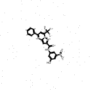 O=C(Nc1cc(O)cc([N+](=O)[O-])c1)c1cc2nc(-c3ccccc3)cc(C(F)(F)F)n2n1